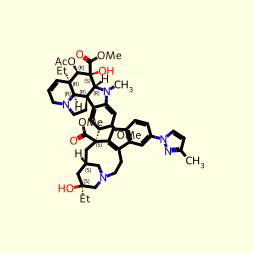 CC[C@]1(O)C[C@H]2CN(CCC3=C(Cc4ccc(-n5ccc(C)n5)cc43)[C@@](C(=O)OC)(C3C=C4C(=CC3OC)N(C)[C@H]3[C@@](O)(C(=O)OC)[C@H](OC(C)=O)[C@]5(CC)C=CCN6CC[C@]43[C@@H]65)C2)C1